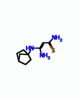 NC(=S)C=C(N)NC12CCC(CC1)C2